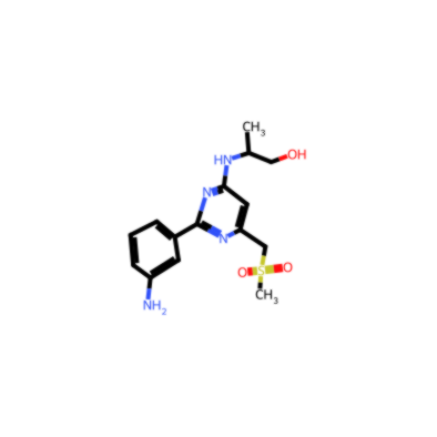 CC(CO)Nc1cc(CS(C)(=O)=O)nc(-c2cccc(N)c2)n1